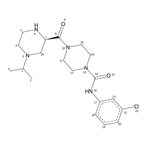 CC(C)N1CCN[C@@H](C(=O)N2CCN(C(=O)Nc3cccc(Cl)c3)CC2)C1